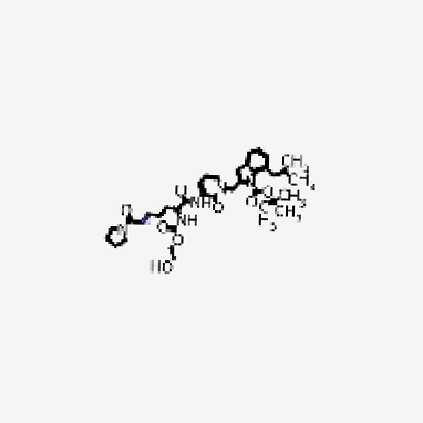 CC(C)Cc1cccc2cc(Cn3cccc(NC(=O)[C@H](CC/C=C/C(=O)N4CCCC4)NC(=O)OCCO)c3=O)n(C(=O)OC(C)(C)C)c12